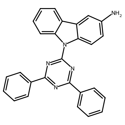 Nc1ccc2c(c1)c1ccccc1n2-c1nc(-c2ccccc2)nc(-c2ccccc2)n1